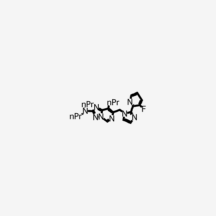 CCCc1c(Cn2ccnc2-c2ncccc2F)ncn2nc(N(CCC)CCC)nc12